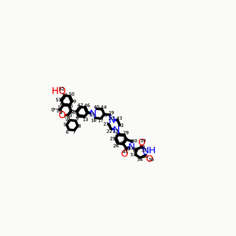 C[C@H]1O[C@@H](C2CCCCC2)[C@@H](c2ccc(N3CCC(CN4CCN(c5ccc6c(c5)CN([C@H]5CCC(=O)NC5=O)C6=O)CC4)CC3)cc2)c2ccc(O)cc21